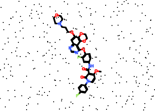 COc1ccn(-c2ccc(F)cc2)c(=O)c1C(=O)Nc1ccc(Oc2ncnc3cc(OCCCN4CCOCC4)c4c(c23)OCCO4)c(F)c1